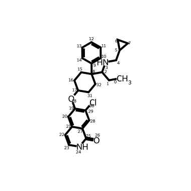 CCC(NCC1CC1)C1(c2ccccc2)CCC(Oc2cc3cc[nH]c(=O)c3cc2Cl)CC1